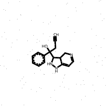 C#CCC(O)(c1ccccc1)C1NNC2=CC=NCC21